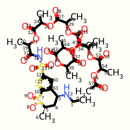 CCN[C@H]1C[C@H](C)S(=O)(=O)c2sc(S(=O)(=O)NC(=O)C(C)OC(=O)C(C)OC(=O)C(C)OC(=O)C(C)OC(=O)C(C)OC(=O)C(C)OC(=O)C(C)OC(=O)C(C)OC(C)=O)cc21